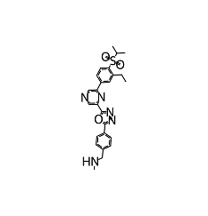 CCc1cc(-c2cncc(-c3nnc(-c4ccc(CNC)cc4)o3)n2)ccc1S(=O)(=O)C(C)C